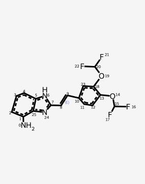 Nc1cccc2[nH]c(/C=C/c3ccc(OC(F)F)c(OC(F)F)c3)nc12